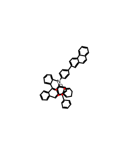 C1=c2oc3c(-c4ccccc4N(c4ccc(-c5ccccc5)cc4)c4ccc(-c5ccc6c(ccc7ccccc76)c5)cc4)c4ccccc4cc3c2=CCC1